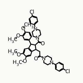 COc1ccc(C2c3cc(OC)c(OC)cc3C(CC(=O)N3CCN(c4ccc(Cl)cc4)CC3)C2C(=O)N2CCN(c3ccc(Cl)cc3)CC2)cc1OC